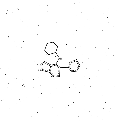 c1ccc(-c2cnc3[nH]ccc3c2NC2CCCCC2)nc1